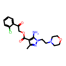 Cc1nn(CCN2CCOCC2)c(N)c1C(=O)OCC(=O)c1ccccc1Cl